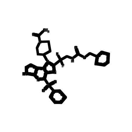 CC(=O)N1CCC(n2c(C(F)(F)CNC(=O)OCc3ccccc3)nc3c(S(=O)(=O)c4ccccc4)nc4[nH]ccc4c32)CC1